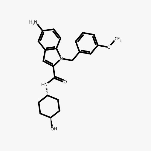 Nc1ccc2c(c1)cc(C(=O)N[C@H]1CC[C@H](O)CC1)n2Cc1cccc(OC(F)(F)F)c1